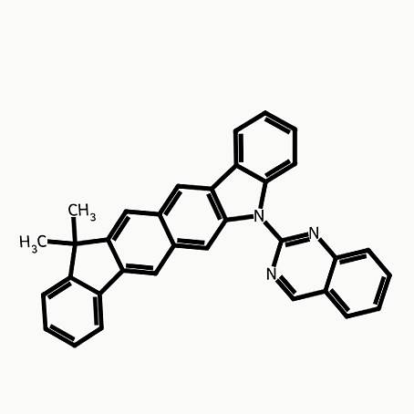 CC1(C)c2ccccc2-c2cc3cc4c(cc3cc21)c1ccccc1n4-c1ncc2ccccc2n1